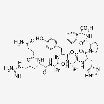 CC(C)[C@H](NC(=O)[C@H](CCCNC(=N)N)NC(=O)CCC(N)=O)C(=O)N[C@@H](Cc1ccc(O)cc1)C(=O)N[C@H](C(=O)N[C@@H](Cc1c[nH]cn1)C(=O)N1CCC[C@H]1C(=O)N[C@H](C(=O)O)c1ccccc1)C(C)C